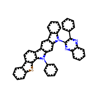 c1ccc(-c2nc3ccccc3nc2-n2c3ccccc3c3cc4c5ccc6c7ccccc7sc6c5n(-c5ccccc5)c4cc32)cc1